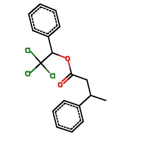 CC(CC(=O)OC(c1ccccc1)C(Cl)(Cl)Cl)c1ccccc1